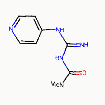 CNC(=O)NC(=N)Nc1ccncc1